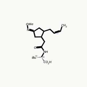 C/C=C\CC1CC(=NOC)CC1CC(=O)N[C@H](C(=O)O)[C@@H](C)CC